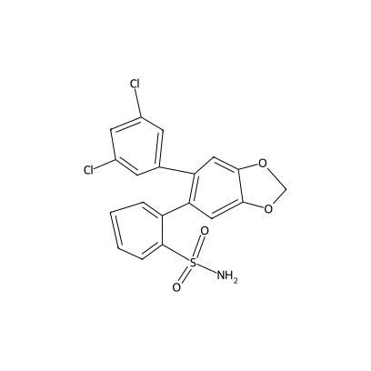 NS(=O)(=O)c1ccccc1-c1cc2c(cc1-c1cc(Cl)cc(Cl)c1)OCO2